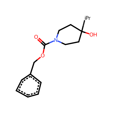 CC(C)C1(O)CCN(C(=O)OCc2ccccc2)CC1